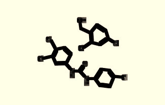 O=C(Nc1ccc(Cl)cc1)Nc1ccc(Cl)c(Cl)c1.OCc1ccc(Cl)cc1Cl